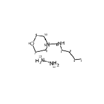 CCCCNN1CCOCC1.NN